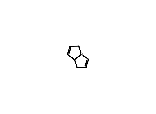 C1=CN2CC=CC2C1